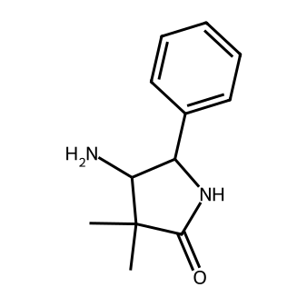 CC1(C)C(=O)NC(c2ccccc2)C1N